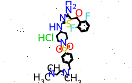 CN(C)CCN(C)Cc1ccc(S(=O)(=O)N2CCC(Nc3nc(N)c(C(=O)c4c(F)cccc4F)s3)CC2)cc1.Cl